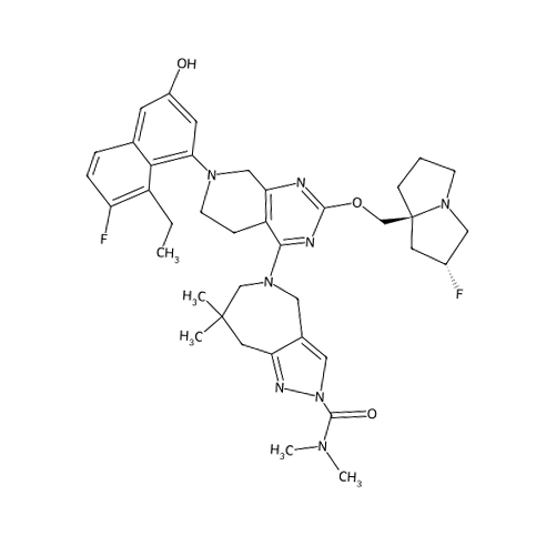 CCc1c(F)ccc2cc(O)cc(N3CCc4c(nc(OC[C@@]56CCCN5C[C@H](F)C6)nc4N4Cc5cn(C(=O)N(C)C)nc5CC(C)(C)C4)C3)c12